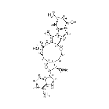 CO[C@@H]1C2=C(COP(O)(=S)O[C@@H]([C@@H](O)n3cnc4c(=O)[nH]c(N)nc43)[C@@H](F)OCC2)O[C@H]1n1cnc2c(N)ncnc21